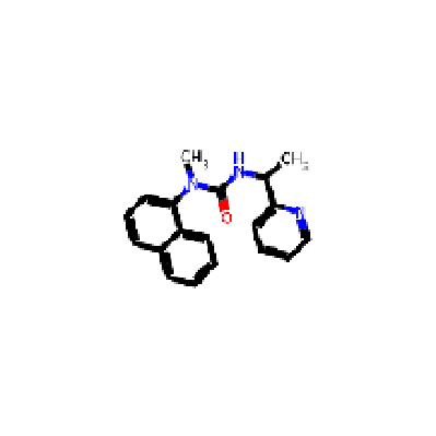 CC(NC(=O)N(C)c1cccc2ccccc12)c1ccccn1